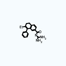 CCC1=C(c2ccccc2)c2cc(C(=O)N=C(N)N)ccc2CC1